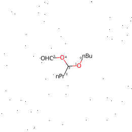 CCCCOC(CCC)O[C]=O